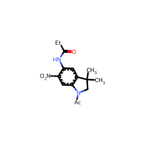 CCC(=O)Nc1cc2c(cc1[N+](=O)[O-])N(C(C)=O)CC2(C)C